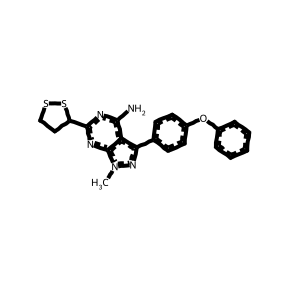 Cn1nc(-c2ccc(Oc3ccccc3)cc2)c2c(N)nc(C3CCSS3)nc21